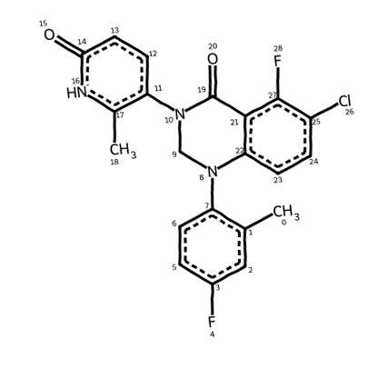 Cc1cc(F)ccc1N1CN(c2ccc(=O)[nH]c2C)C(=O)c2c1ccc(Cl)c2F